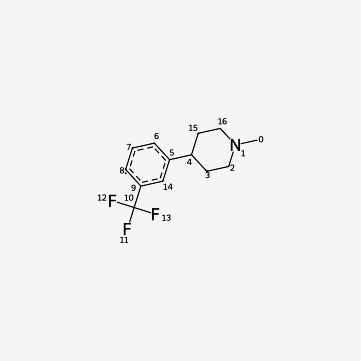 CN1CCC(c2cc[c]c(C(F)(F)F)c2)CC1